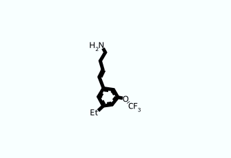 CCc1cc(C=CCCN)cc(OC(F)(F)F)c1